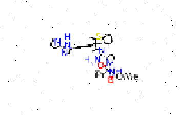 C=C(Sc1ccccc1)[C@@](C)(C#CC#Cc1cnc([C@@H]2CCC=N2)[nH]1)C(C)/N=C(\N)[C@@H]1CCCN1C(=O)[C@@H](NC(=O)OC)C(C)C